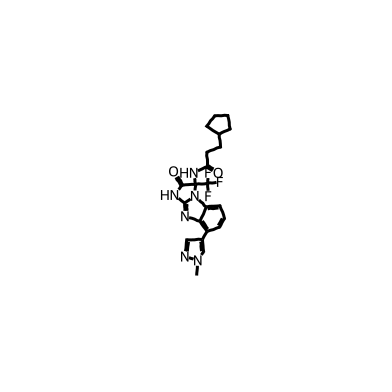 Cn1cc(-c2cccc3c2nc2n3C(NC(=O)CCC3CCCC3)(C(F)(F)F)C(=O)N2)cn1